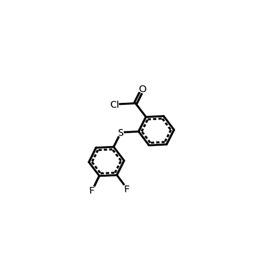 O=C(Cl)c1ccccc1Sc1ccc(F)c(F)c1